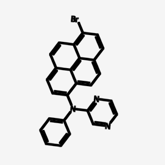 Brc1ccc2ccc3c(N(c4ccccc4)c4cnccn4)ccc4ccc1c2c43